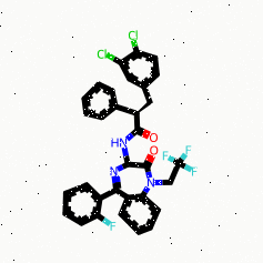 O=C(NC1N=C(c2ccccc2F)c2ccccc2N(CC(F)(F)F)C1=O)[C@H](Cc1ccc(Cl)c(Cl)c1)c1ccccc1